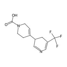 O=C(O)N1CC=C(C2C=NC=C(C(F)(F)F)C2)CC1